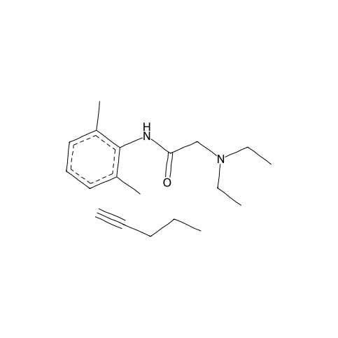 C#CCCC.CCN(CC)CC(=O)Nc1c(C)cccc1C